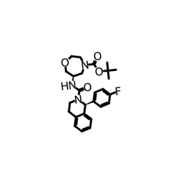 CC(C)(C)OC(=O)N1CCOC[C@H](NC(=O)N2CCc3ccccc3[C@@H]2c2ccc(F)cc2)C1